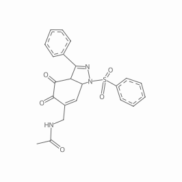 CC(=O)NCC1=CC2C(C(=O)C1=O)C(c1ccccc1)=NN2S(=O)(=O)c1ccccc1